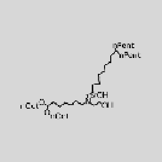 CCCCCCCCOC(CCCCCCN(CCO)C[C@@H](O)CCCCCCCC(CCCCC)CCCCC)OCCCCCCCC